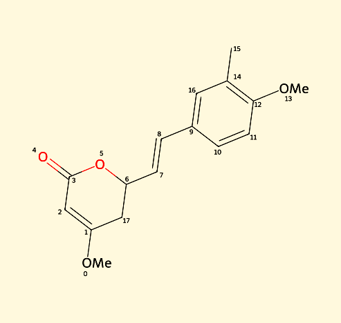 COC1=CC(=O)OC(/C=C/c2ccc(OC)c(C)c2)C1